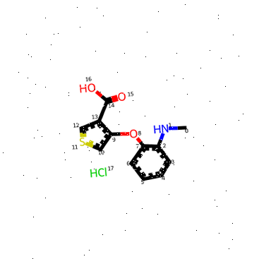 CNc1ccccc1Oc1cscc1C(=O)O.Cl